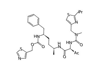 CC(=O)[C@H](NC(=O)N(C)Cc1csc(C(C)C)n1)C(=O)N[C@@H](C)CC[C@H](Cc1ccccc1)NC(=O)OCc1cncs1